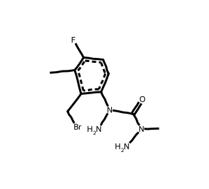 Cc1c(F)ccc(N(N)C(=O)N(C)N)c1CBr